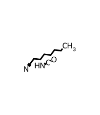 CCCCCCCC#N.N=C=O